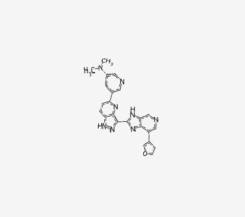 CN(C)c1cncc(-c2ccc3[nH]nc(-c4nc5c(-c6ccoc6)cncc5[nH]4)c3n2)c1